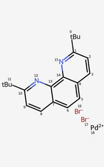 CC(C)(C)c1ccc2ccc3ccc(C(C)(C)C)nc3c2n1.[Br-].[Br-].[Pd+2]